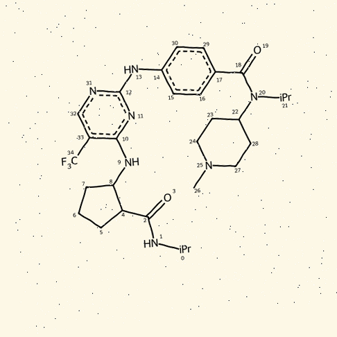 CC(C)NC(=O)C1CCCC1Nc1nc(Nc2ccc(C(=O)N(C(C)C)C3CCN(C)CC3)cc2)ncc1C(F)(F)F